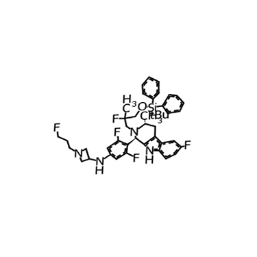 C[C@@H]1Cc2c([nH]c3ccc(F)cc23)[C@@H](c2c(F)cc(NC3CN(CCCF)C3)cc2F)N1CC(C)(F)CO[Si](c1ccccc1)(c1ccccc1)C(C)(C)C